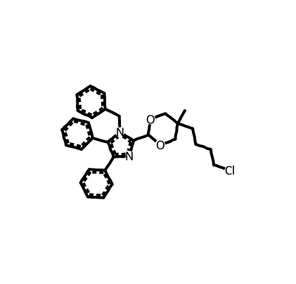 CC1(CCCCCl)COC(c2nc(-c3ccccc3)c(-c3ccccc3)n2Cc2ccccc2)OC1